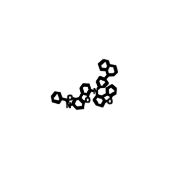 c1ccc(-c2nc3ccc4oc5c(N(c6ccc(-c7cccc8ccccc78)cc6)c6cccc7oc8ccccc8c67)cccc5c4c3o2)cc1